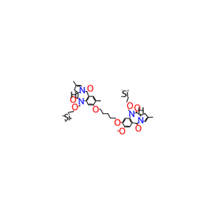 COc1cc2c(cc1OCCCCCOc1cc3c(cc1C)C(=O)N1C=C(C)C[C@H]1C(=O)N3COCC[Si](C)(C)C)N(COCC[Si](C)(C)C)C(=O)[C@@H]1CC(C)=CN1C2=O